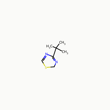 CC(C)(C)C1=NCSC=N1